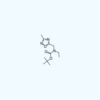 CCN(Cc1nc(C)no1)C(=O)OC(C)(C)C